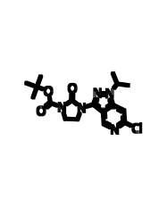 CC(C)n1nc(N2CCN(C(=O)OC(C)(C)C)C2=O)c2cnc(Cl)cc21